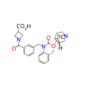 O=C(O)C1CN(C(=O)c2cccc(CN(C(=O)O[C@H]3CN4CCC3CC4)c3ccccc3F)c2)C1